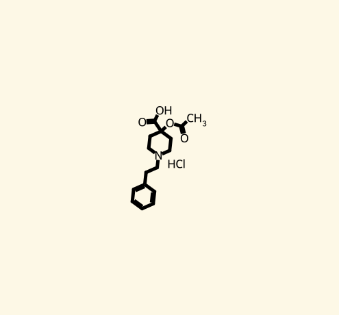 CC(=O)OC1(C(=O)O)CCN(CCc2ccccc2)CC1.Cl